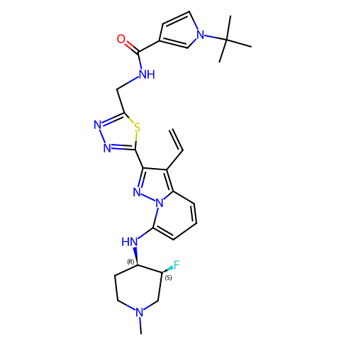 C=Cc1c(-c2nnc(CNC(=O)c3ccn(C(C)(C)C)c3)s2)nn2c(N[C@@H]3CCN(C)C[C@@H]3F)cccc12